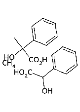 C.CC(O)(C(=O)O)c1ccccc1.O=C(O)C(O)c1ccccc1